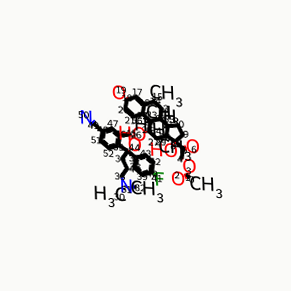 CC(=O)OCC(=O)[C@@]1(O)CC[C@H]2[C@@H]3C[C@H](C)C4=CC(=O)C=C[C@]4(C)[C@H]3[C@@H](O)C[C@@]21C.CN(C)CCCC1(c2ccc(F)cc2)OCc2cc(C#N)ccc21